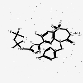 CC(C)(CC(F)(F)F)Nc1nnc(-c2cc3c(cc2F)S(=O)(=O)C[C@H](N)C(=O)N3Cc2ccc(Cl)cc2)o1